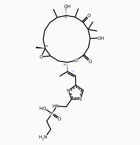 C/C(=C\c1csc(CNP(=O)(O)CCN)n1)[C@@H]1CC2O[C@]2(C)CCCC(C)[C@H](O)C(C)C(=O)C(C)(C)C(O)CC(=O)O1